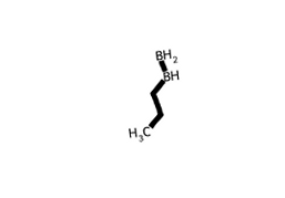 BBCCC